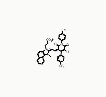 CN1/C(=C\C=C2/C(=O)N(c3ccc(C#N)cc3)C(=O)C(Cl)=C2c2ccc(C(F)(F)F)cc2)N(CCC(=O)O)c2ccc3ccccc3c21